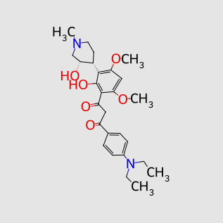 CCN(CC)c1ccc(C(=O)CC(=O)c2c(OC)cc(OC)c([C@H]3CCN(C)C[C@H]3O)c2O)cc1